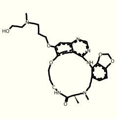 C[C@H]1C(=O)NCCCOc2cc3c(ncnc3cc2OCCCN(C)CCO)Nc2c(ccc3c2OCO3)CN1C